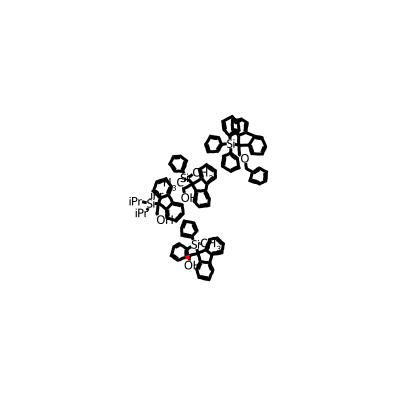 CC(C)[Si](C(C)C)(C(C)C)C1(CO)c2ccccc2-c2ccccc21.C[Si](C)(c1ccccc1)C1(CO)c2ccccc2-c2ccccc21.C[Si](c1ccccc1)(c1ccccc1)C1(CO)c2ccccc2-c2ccccc21.c1ccc(COCC2([Si](c3ccccc3)(c3ccccc3)c3ccccc3)c3ccccc3-c3ccccc32)cc1